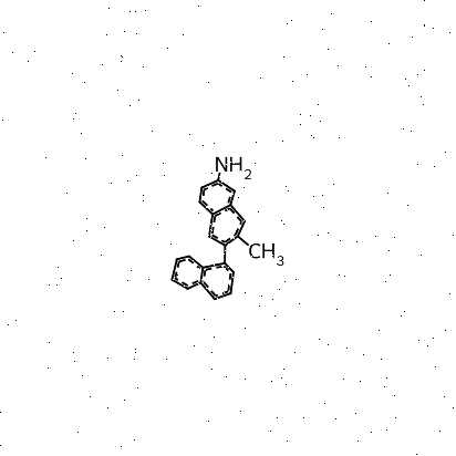 Cc1cc2cc(N)ccc2cc1-c1cccc2ccccc12